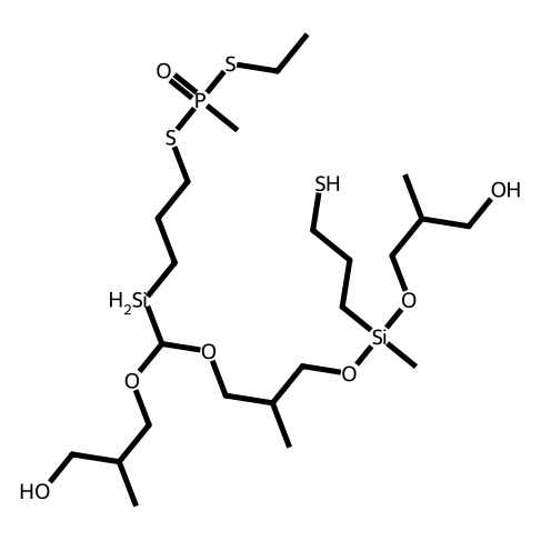 CCSP(C)(=O)SCCC[SiH2]C(OCC(C)CO)OCC(C)CO[Si](C)(CCCS)OCC(C)CO